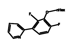 CCCCCCOc1c(F)ccc(-c2ccccn2)c1F